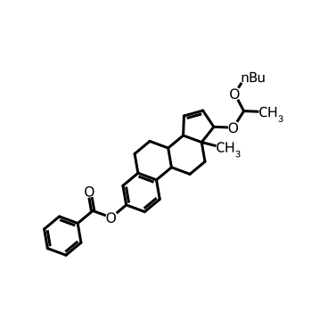 CCCCOC(C)OC1C=CC2C3CCc4cc(OC(=O)c5ccccc5)ccc4C3CCC12C